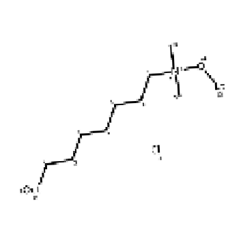 CCCCCCCCCCCCCCC[N+](C)(C)OCC.[Cl-]